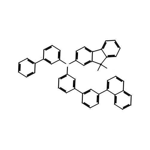 CC1(C)c2ccccc2-c2ccc(N(c3cccc(-c4ccccc4)c3)c3cccc(-c4cccc(-c5cccc6ccccc56)c4)c3)cc21